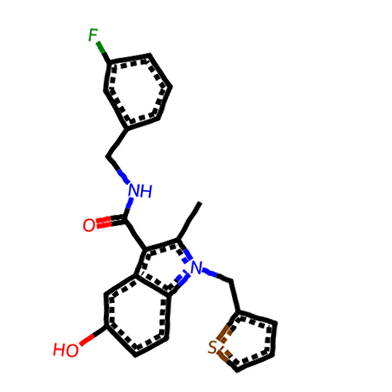 Cc1c(C(=O)NCc2cccc(F)c2)c2cc(O)ccc2n1Cc1cccs1